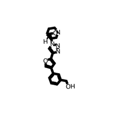 OCc1cccc(-c2coc(-c3cn([C@H]4CN5CCC4CC5)nn3)c2)c1